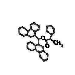 C[C@@H](C(=O)OC(c1cc2ccccc2c2ccccc12)c1cc2ccccc2c2ccccc12)c1ccccc1